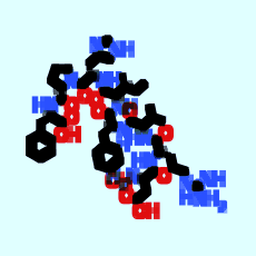 CC[C@H](C)[C@H](NC(=O)[C@H](Cc1ccc(O)cc1)NC(=O)[C@@H](NC(=O)[C@H](CCCNC(=N)N)NC(=O)[C@H](N)CC(=O)O)C(C)C)C(=O)N[C@@H](Cc1c[nH]cn1)C(=O)N1CCC[C@H]1C(=O)N[C@H](Cc1ccccc1)C(=O)O